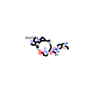 C=CC(=O)N(C)CC1CCN(C(=O)N(C)[C@H](C(=O)N[C@H]2Cc3nc(cs3)-c3ccc4c(c3)c(c(-c3cccnc3[C@H](C)OC)n4CC)CC(C)(C)COC(=O)[C@@]3(O)CCCN(N3)C2=O)C(C)C)CC1